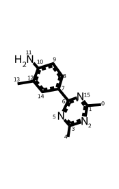 Cc1nc(C)nc(-c2ccc(N)c(C)c2)n1